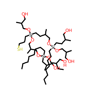 CCCCCCCC[Si](CCC(C)CO)(OCC(C)CO)OCC(C)CC[Si](CCCS)(OCC(C)CO)OCC(C)CO[Si](CCCCCCCC)(CC(C)CO)OCC(CC)CO